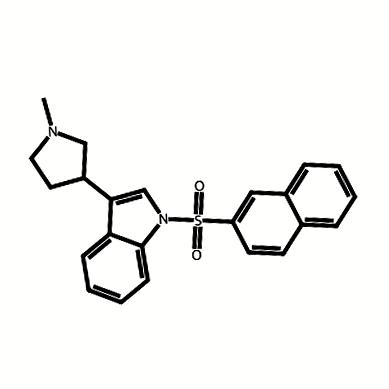 CN1CCC(c2cn(S(=O)(=O)c3ccc4ccccc4c3)c3ccccc23)C1